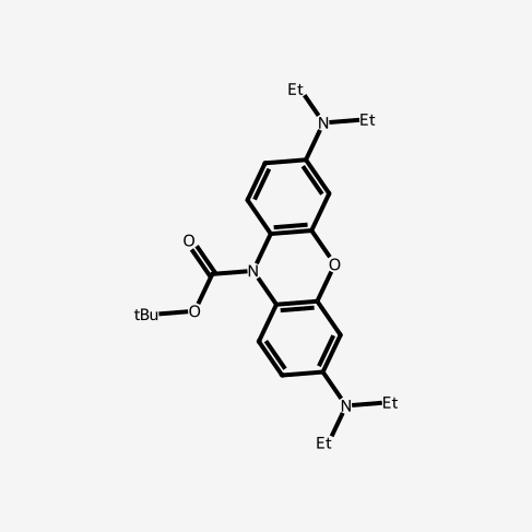 CCN(CC)c1ccc2c(c1)Oc1cc(N(CC)CC)ccc1N2C(=O)OC(C)(C)C